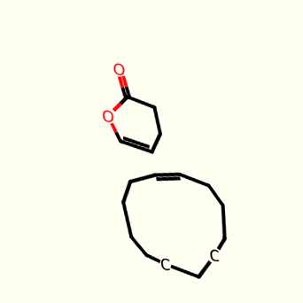 C1=CCCCCCCCCCC1.O=C1CCC=CO1